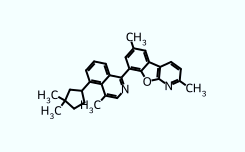 Cc1cc(-c2ncc(C)c3c(C4CCC(C)(C)C4)cccc23)c2oc3nc(C)ccc3c2c1